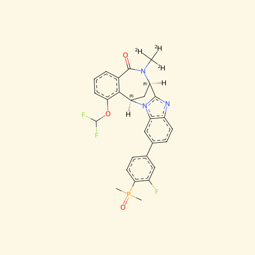 [2H]C([2H])([2H])N1C(=O)c2cccc(OC(F)F)c2[C@H]2C[C@@H]1c1nc3ccc(-c4ccc(P(C)(C)=O)c(F)c4)cc3n12